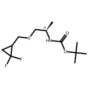 C[C@H](CSCC1CC1(F)F)NC(=O)OC(C)(C)C